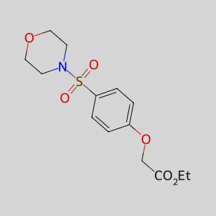 CCOC(=O)COc1ccc(S(=O)(=O)N2CCOCC2)cc1